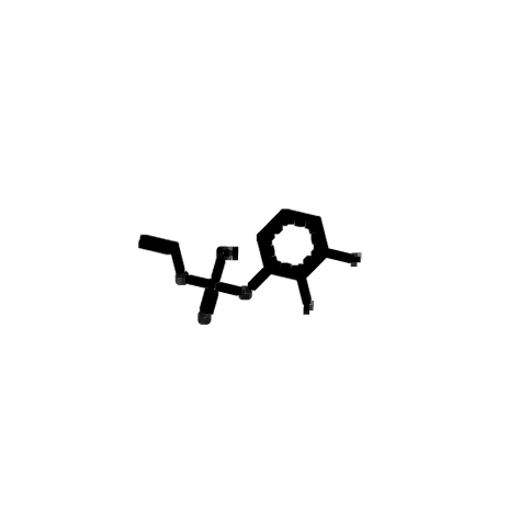 C=COP(=O)(O)Oc1cccc(F)c1F